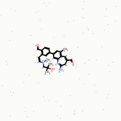 Cc1cc(-c2ccc(C=O)c(/C=C\N(C)CC(C)(C)O)c2)cc2c1C=C(C=O)CC(N)=N2